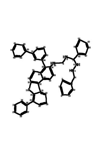 c1ccc(CNNC(NCNc2ccc3c(ccc4sc5c(-c6ccccc6)cccc5c43)c2-c2cccc(-c3ccccc3)c2)c2ccccc2)cc1